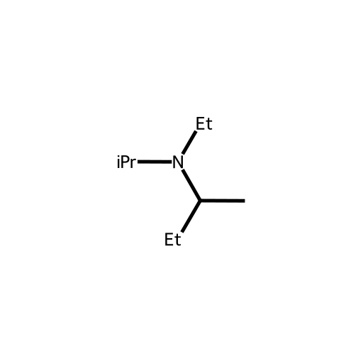 [CH2]CN(C(C)C)C(C)CC